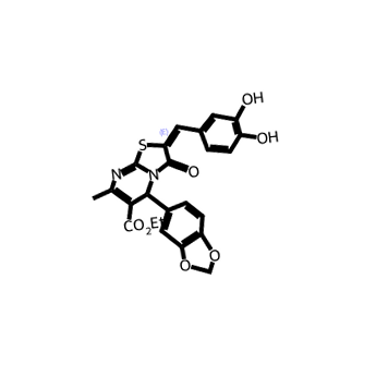 CCOC(=O)C1=C(C)N=c2s/c(=C/c3ccc(O)c(O)c3)c(=O)n2C1c1ccc2c(c1)OCO2